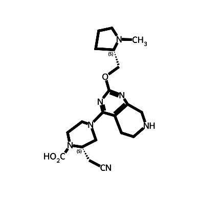 CN1CCC[C@H]1COc1nc2c(c(N3CCN(C(=O)O)[C@@H](CC#N)C3)n1)CCNC2